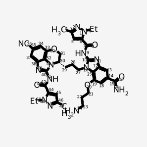 CCn1nc(C)cc1C(=O)Nc1nc2cc(C(N)=O)cc(OCCCN)c2n1CCC[C@H]1COc2cc(C#N)cc3nc(NC(=O)c4cc(C)nn4CC)n1c23